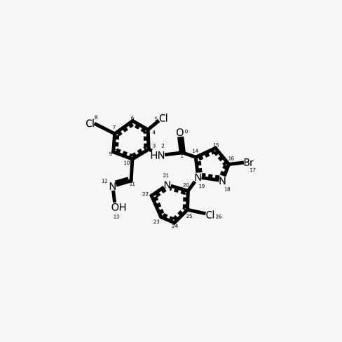 O=C(Nc1c(Cl)cc(Cl)cc1C=NO)c1cc(Br)nn1-c1ncccc1Cl